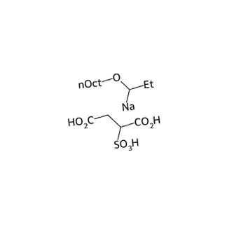 CCCCCCCCO[CH]([Na])CC.O=C(O)CC(C(=O)O)S(=O)(=O)O